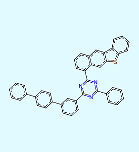 c1ccc(-c2ccc(-c3cccc(-c4nc(-c5ccccc5)nc(-c5cccc6cc7c(cc56)sc5ccccc57)n4)c3)cc2)cc1